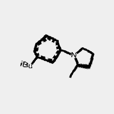 CCC(C)c1cccc(N2CCCC2C)c1